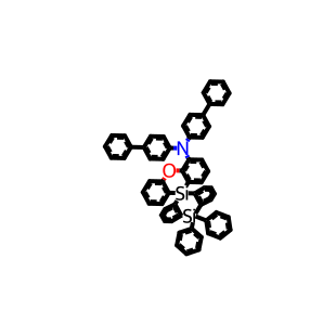 c1ccc(-c2ccc(N(c3ccc(-c4ccccc4)cc3)c3cccc4c3Oc3ccccc3[Si]43c4ccccc4[Si](c4ccccc4)(c4ccccc4)c4ccccc43)cc2)cc1